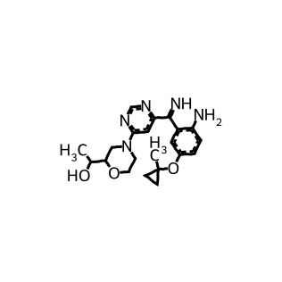 CC(O)C1CN(c2cc(C(=N)c3cc(OC4(C)CC4)ccc3N)ncn2)CCO1